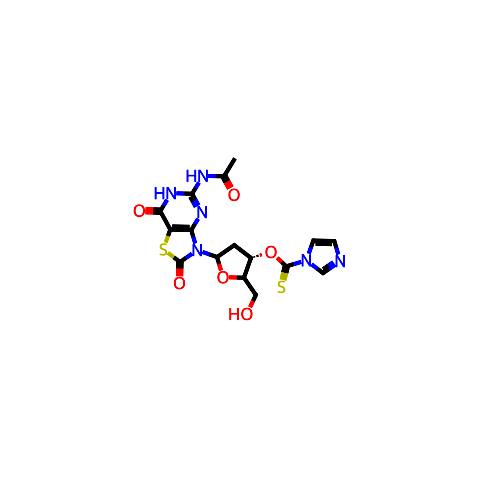 CC(=O)Nc1nc2c(sc(=O)n2C2C[C@H](OC(=S)n3ccnc3)C(CO)O2)c(=O)[nH]1